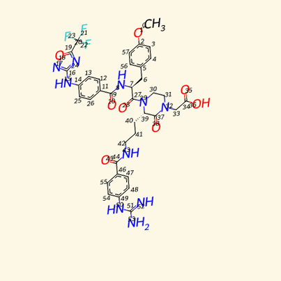 COc1ccc(C[C@H](NC(=O)c2ccc(Nc3noc(C(F)(F)F)n3)cc2)C(=O)N2CCN(CC(=O)O)C(=O)[C@@H]2CCCNC(=O)c2ccc(NC(=N)N)cc2)cc1